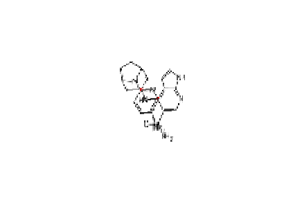 NC(=O)c1cnc2[nH]ccc2c1NC1CC2CCC(C1)N2c1ccc(N)cn1